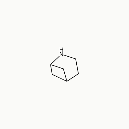 C1CC2CC(C2)N1